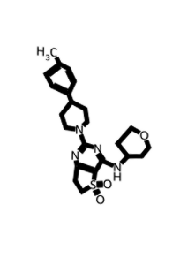 Cc1ccc(C2CCN(c3nc4c(c(NC5CCOCC5)n3)S(=O)(=O)CC4)CC2)cc1